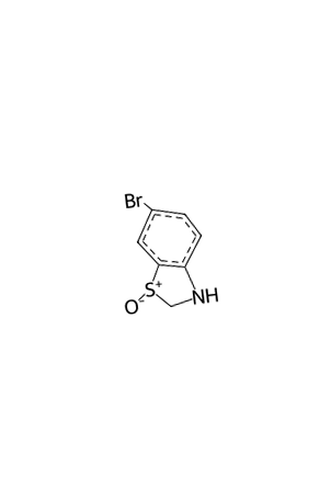 [O-][S+]1CNc2ccc(Br)cc21